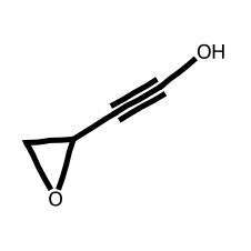 OC#CC1CO1